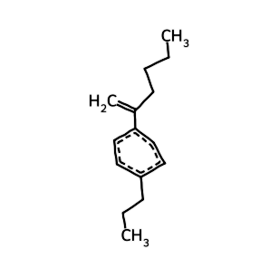 C=C(CCCC)c1ccc(CCC)cc1